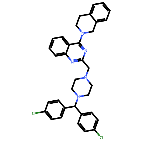 Clc1ccc(C(c2ccc(Cl)cc2)N2CCN(Cc3nc(N4CCc5ccccc5C4)c4ccccc4n3)CC2)cc1